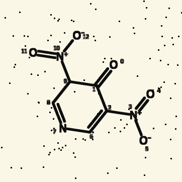 O=C1C([N+](=O)[O-])=[C]N=CC1[N+](=O)[O-]